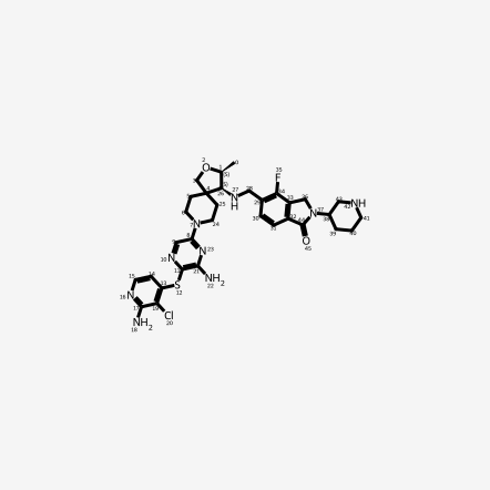 C[C@@H]1OCC2(CCN(c3cnc(Sc4ccnc(N)c4Cl)c(N)n3)CC2)[C@@H]1NCc1ccc2c(c1F)CN(C1CCCNC1)C2=O